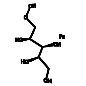 OC[C@@H](O)[C@H](O)[C@@H](O)COO.[Fe]